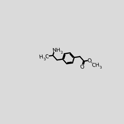 COC(=O)Cc1ccc(CC(C)N)cc1